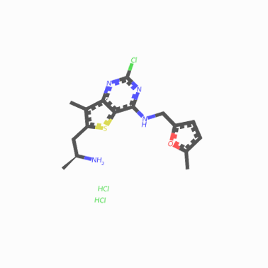 Cc1ccc(CNc2nc(Cl)nc3c(C)c(C[C@H](C)N)sc23)o1.Cl.Cl